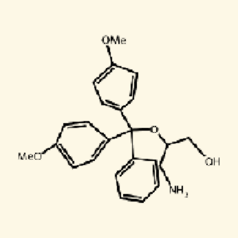 COc1ccc(C(OC(CN)CO)(c2ccccc2)c2ccc(OC)cc2)cc1